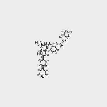 Cc1c(NC(=O)N2Cc3ccccc3C2)cccc1-c1nc(N)nc2[nH]c(-c3ccc(N4CCOCC4)nc3)cc12